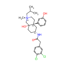 CC(C)C[N@+]1(C)CC[C@]2(c3cccc(O)c3)C[C@H](NC(=O)Cc3ccc(Cl)c(Cl)c3)CCC2(O)C1